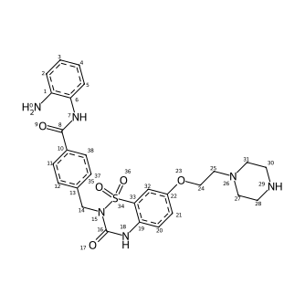 Nc1ccccc1NC(=O)c1ccc(CN2C(=O)Nc3ccc(OCCN4CCNCC4)cc3S2(=O)=O)cc1